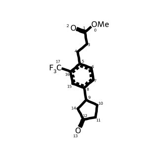 COC(=O)CCc1ccc(C2CCC(=O)C2)cc1C(F)(F)F